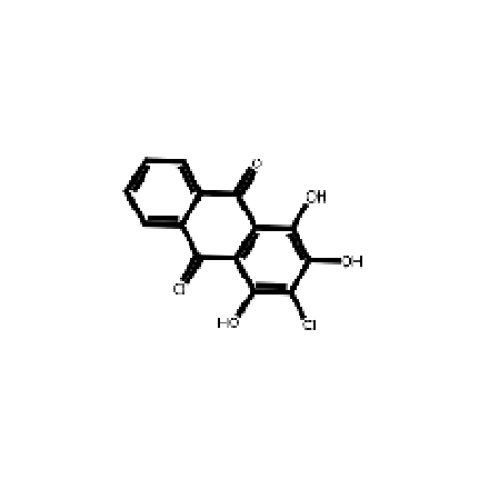 O=C1c2ccccc2C(=O)c2c(O)c(Cl)c(O)c(O)c21